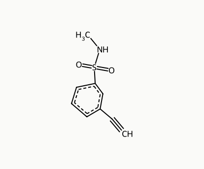 C#Cc1cccc(S(=O)(=O)NC)c1